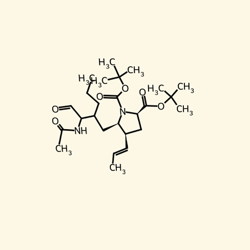 CC=C[C@@H]1C[C@H](C(=O)OC(C)(C)C)N(C(=O)OC(C)(C)C)[C@@H]1CC(CCC)C(C=O)NC(C)=O